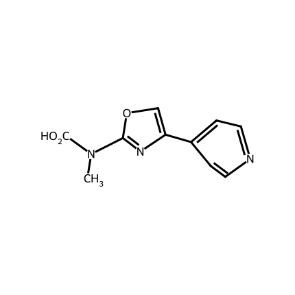 CN(C(=O)O)c1nc(-c2ccncc2)co1